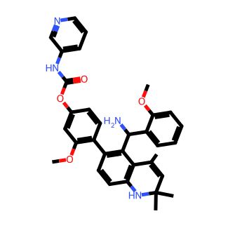 COc1cc(OC(=O)Nc2cccnc2)ccc1-c1ccc2c(c1C(N)c1ccccc1OC)C(C)=CC(C)(C)N2